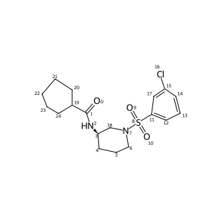 O=C(N[C@@H]1CCCN(S(=O)(=O)c2cccc(Cl)c2)C1)C1CCCCC1